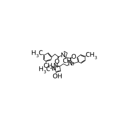 Cc1ccc(CN(CCc2cc(O)n(C)n2)C(=O)C2(C)CCN2C(=O)Cc2cc(C)cc(C)c2)cc1